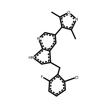 Cc1noc(C)c1-c1cnc2[nH]cc(Cc3c(F)cccc3Cl)c2c1